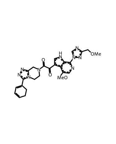 COCc1ncn(-c2ncc(OC)c3c(C(=O)C(=O)N4CCn5c(nnc5C5=CC=CCC5)C4)c[nH]c23)n1